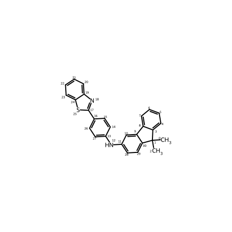 CC1(C)c2ccccc2-c2cc(Nc3ccc(-c4nc5ccccc5s4)cc3)ccc21